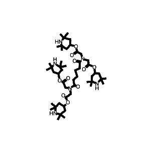 CC1(C)CC(OC(=O)CN(CC(=O)OC2CC(C)(C)NC(C)(C)C2)C(=O)CCCCC(=O)N(CC(=O)OC2CC(C)(C)NC(C)(C)C2)CC(=O)OC2CC(C)(C)NC(C)(C)C2)CC(C)(C)N1